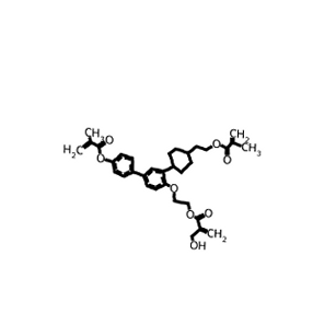 C=C(C)C(=O)OCCC1CCC(c2cc(-c3ccc(OC(=O)C(=C)C)cc3)ccc2OCCOC(=O)C(=C)CO)CC1